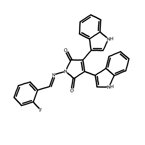 O=C1C(c2c[nH]c3ccccc23)=C(c2c[nH]c3ccccc23)C(=O)N1/N=C/c1ccccc1F